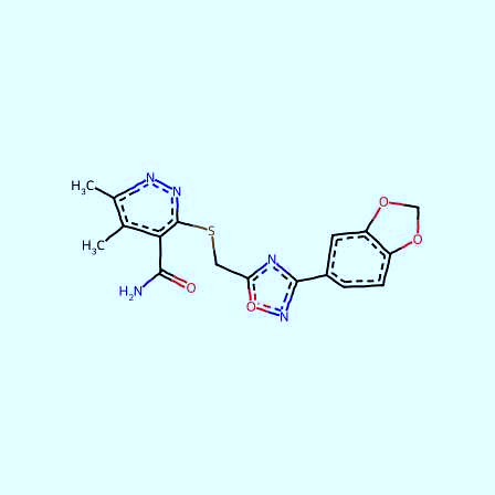 Cc1nnc(SCc2nc(-c3ccc4c(c3)OCO4)no2)c(C(N)=O)c1C